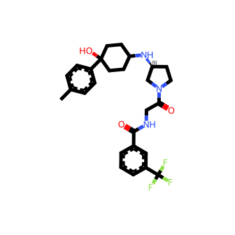 Cc1ccc(C2(O)CCC(N[C@H]3CCN(C(=O)CNC(=O)c4cccc(C(F)(F)F)c4)C3)CC2)cc1